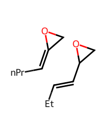 CCC=CC1CO1.CCCC=C1CO1